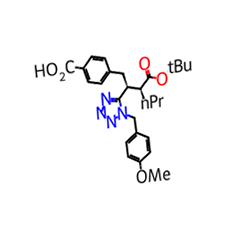 CCC[C@H](C(=O)OC(C)(C)C)[C@H](Cc1ccc(C(=O)O)cc1)c1nnnn1Cc1ccc(OC)cc1